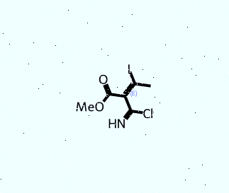 COC(=O)/C(C(=N)Cl)=C(/C)I